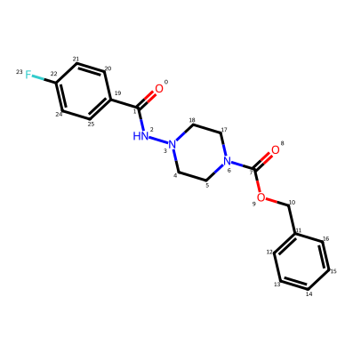 O=C(NN1CCN(C(=O)OCc2ccccc2)CC1)c1ccc(F)cc1